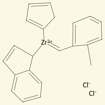 Cc1ccccc1[CH]=[Zr+2]([C]1=CC=CC1)[CH]1C=Cc2ccccc21.[Cl-].[Cl-]